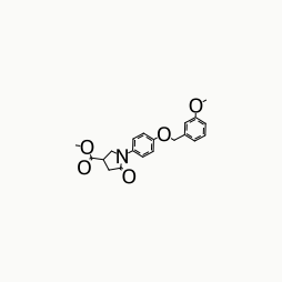 COC(=O)C1CC(=O)N(c2ccc(OCc3cccc(OC)c3)cc2)C1